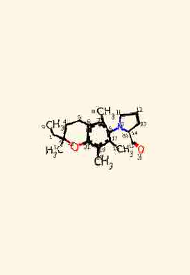 CCC1(C)CCc2c(C)c(N3CCC[C@H]3C=O)c(C)c(C)c2O1